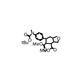 COC(=O)C1C(c2ccc(N(C)C(=O)OC(C)(C)C)cc2)CC2COCC2C1C(=O)OC